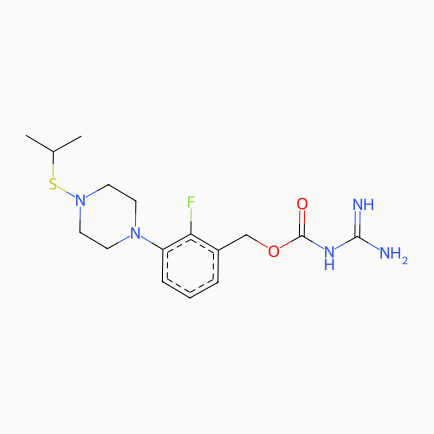 CC(C)SN1CCN(c2cccc(COC(=O)NC(=N)N)c2F)CC1